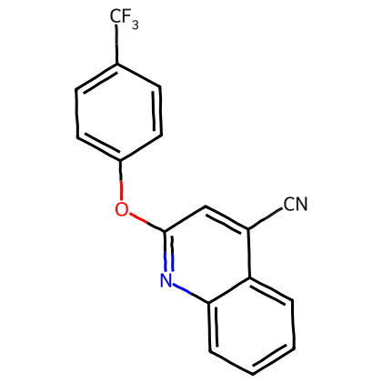 N#Cc1cc(Oc2ccc(C(F)(F)F)cc2)nc2ccccc12